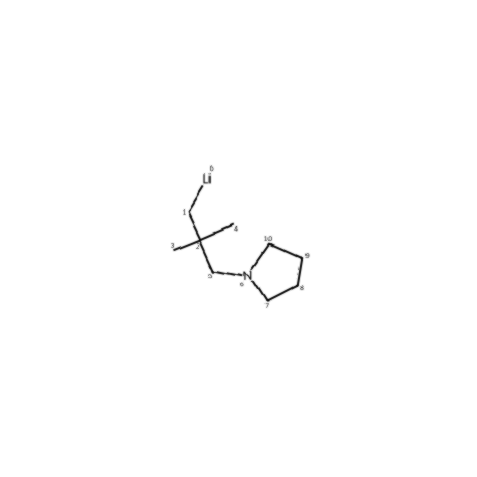 [Li][CH2]C(C)(C)CN1CCCC1